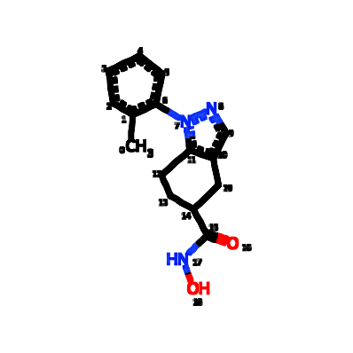 Cc1ccccc1-n1ncc2c1CCC(C(=O)NO)C2